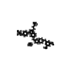 COc1cc(CN2CCC3(CC2)CCN(Cc2ccc4c(c2)c(-c2ccc(OC(F)(F)F)cc2)cn4CCCN)C3)cc(OC)c1.Cl.Cl